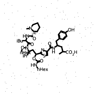 CCCCCCNC(=O)OC(CC(C(C)C)N(OCCCCCC)C(=O)C(NC(=O)[C@H]1CCCCN1C)C(C)CC)c1nc(C(=O)NC(Cc2ccc(O)cc2)CC(C)C(=O)O)cs1